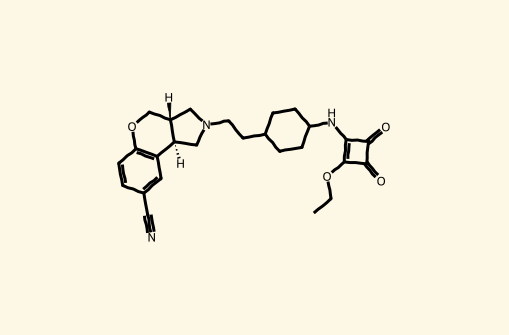 CCOc1c(NC2CCC(CCN3C[C@H]4COc5ccc(C#N)cc5[C@@H]4C3)CC2)c(=O)c1=O